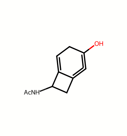 CC(=O)NC1CC2=C=C(O)CC=C21